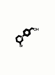 OCc1ccc(N2CCCC(Br)C2)cc1